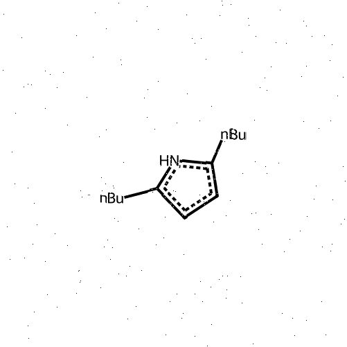 CCCCc1ccc(CCCC)[nH]1